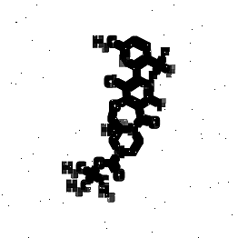 Cc1ccc(C(F)(F)F)c(-c2nc(F)c3c(c2Cl)OC[C@H]2CN(C(=O)OC(C)(C)C)CCN2C3=O)n1